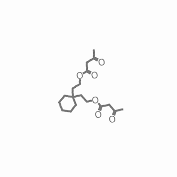 CC(=O)CC(=O)OCCC1(CCOC(=O)CC(C)=O)CCCCC1